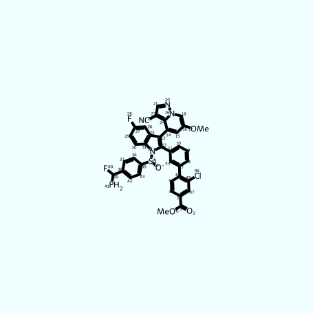 COC(=O)c1ccc(-c2cccc(-c3c(-c4cc(OC)cn5ncc(C#N)c45)c4cc(F)ccc4n3[S+]([O-])c3ccc(C(F)P)cc3)c2)c(Cl)c1